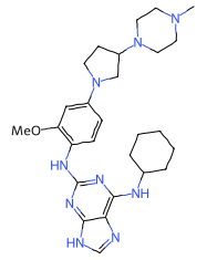 COc1cc(N2CCC(N3CCN(C)CC3)C2)ccc1Nc1nc(NC2CCCCC2)c2nc[nH]c2n1